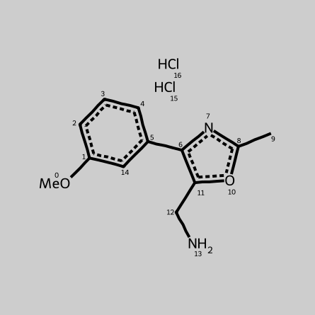 COc1cccc(-c2nc(C)oc2CN)c1.Cl.Cl